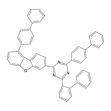 c1ccc(-c2ccc(-c3nc(-c4ccc5c(c4)oc4cccc(-c6ccc(-c7ccccc7)cc6)c45)nc(-c4ccccc4-c4ccccc4)n3)cc2)cc1